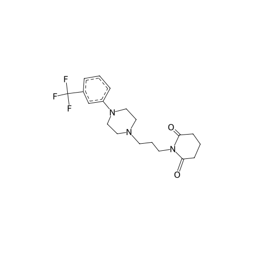 O=C1CCCC(=O)N1CCCN1CCN(c2cccc(C(F)(F)F)c2)CC1